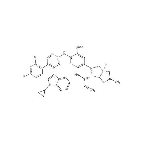 C=CC(=O)Nc1cc(Nc2ncc(-c3ccc(F)cc3F)c(-c3cn(C4CC4)c4ccccc34)n2)c(OC)cc1N1CC2CN(C)C[C@@H]2C1